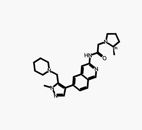 C[C@@H]1CCCN1CC(=O)Nc1cc2cc(-c3cnn(C)c3CN3CCCCC3)ccc2cn1